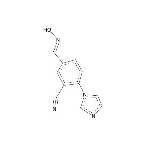 N#Cc1cc(/C=N/O)ccc1-n1ccnc1